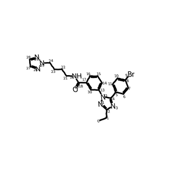 CCc1nc(-c2ccc(Br)cc2)n(-c2cccc(C(=O)NCCCCn3nccn3)c2)n1